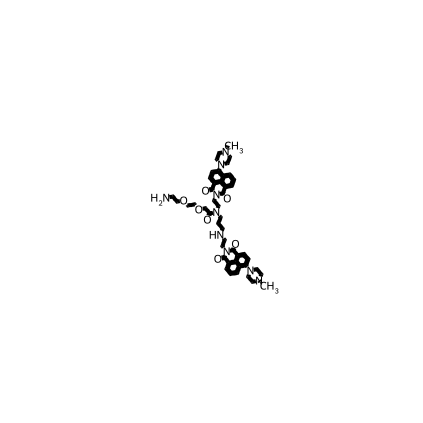 CN1CCN(c2ccc3c4c(cccc24)C(=O)N(CCNCCCN(CCN2C(=O)c4cccc5c(N6CCN(C)CC6)ccc(c45)C2=O)C(=O)COCCOCCN)C3=O)CC1